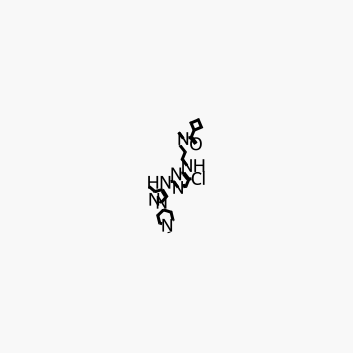 Cc1nn(C2CCN(C)CC2)cc1Nc1ncc(Cl)c(NCCCN(C)C(=O)C2CCC2)n1